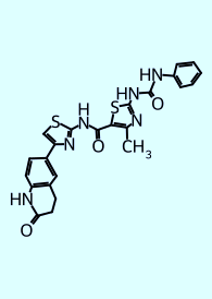 Cc1nc(NC(=O)Nc2ccccc2)sc1C(=O)Nc1nc(-c2ccc3c(c2)CCC(=O)N3)cs1